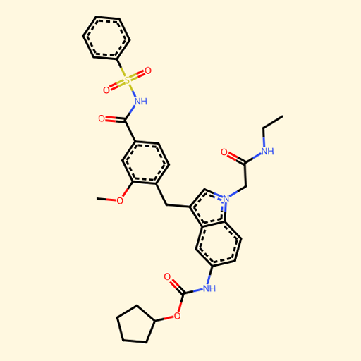 CCNC(=O)Cn1cc(Cc2ccc(C(=O)NS(=O)(=O)c3ccccc3)cc2OC)c2cc(NC(=O)OC3CCCC3)ccc21